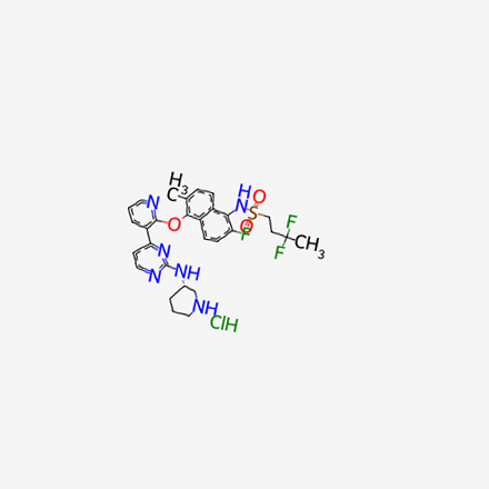 Cc1ccc2c(NS(=O)(=O)CCC(C)(F)F)c(F)ccc2c1Oc1ncccc1-c1ccnc(N[C@H]2CCCNC2)n1.Cl